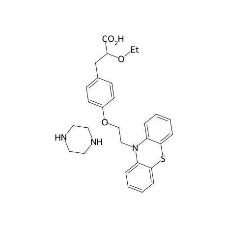 C1CNCCN1.CCOC(Cc1ccc(OCCN2c3ccccc3Sc3ccccc32)cc1)C(=O)O